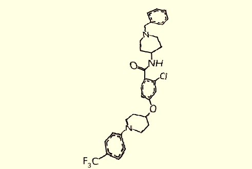 O=C(NC1CCN(Cc2ccccc2)CC1)c1ccc(OC2CCN(c3ccc(C(F)(F)F)cc3)CC2)cc1Cl